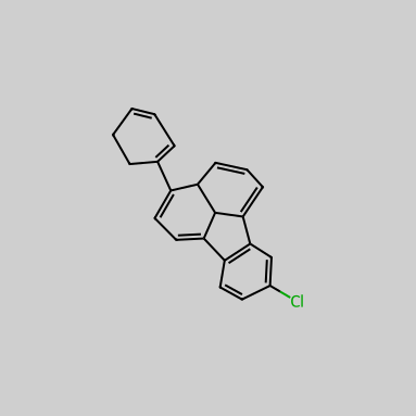 Clc1ccc2c(c1)C1=CC=CC3C(C4=CC=CCC4)=CC=C2C13